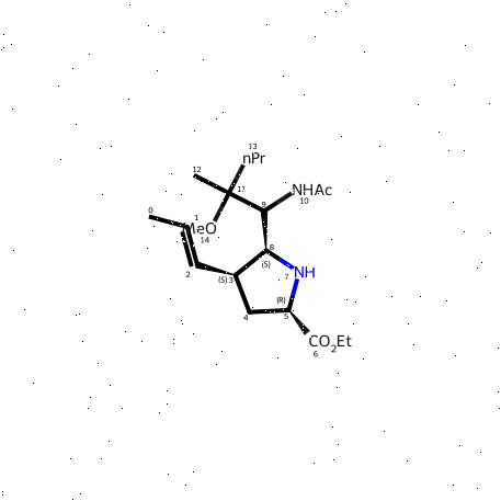 CC=C[C@@H]1C[C@H](C(=O)OCC)N[C@@H]1C(NC(C)=O)C(C)(CCC)OC